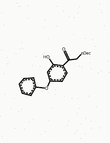 CCCCCCCCCCCC(=O)c1ccc(Oc2ccccc2)cc1O